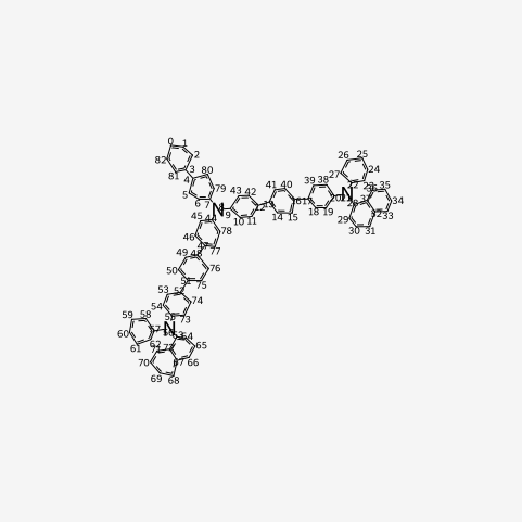 c1ccc(-c2ccc(N(c3ccc(-c4ccc(-c5ccc(N(c6ccccc6)c6cccc7ccccc67)cc5)cc4)cc3)c3ccc(-c4ccc(-c5ccc(N(c6ccccc6)c6cccc7ccccc67)cc5)cc4)cc3)cc2)cc1